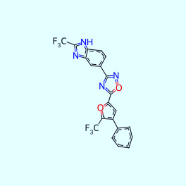 FC(F)(F)c1nc2cc(-c3noc(-c4cc(-c5ccccc5)c(C(F)(F)F)o4)n3)ccc2[nH]1